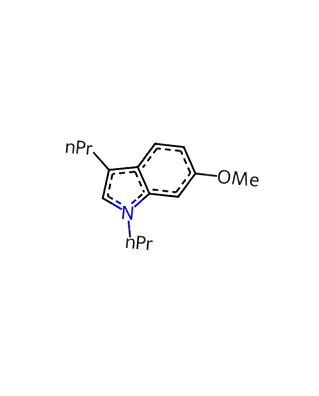 CCCc1cn(CCC)c2cc(OC)ccc12